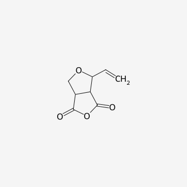 C=CC1OCC2C(=O)OC(=O)C12